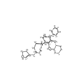 O=c1c(OC2CCCCC2)c(N2CCN(CC3=COCC3)CC2)cnn1-c1ccccc1